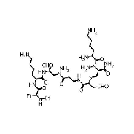 CCNC(CC)C(=O)NC(CCCCN)C(=O)NC(C=O)CN(N)C(=O)CCNC(=O)C(CC=O)SCC(C(N)=O)N(N)C(=O)[C@@H](N)CCCCN